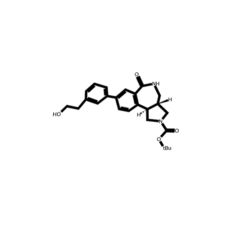 CC(C)(C)OC(=O)N1C[C@H]2CNC(=O)c3cc(-c4cccc(CCO)c4)ccc3[C@@H]2C1